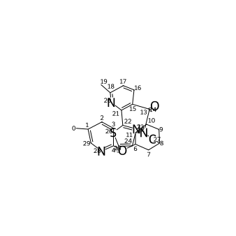 Cc1ccc(OC2CC3CCC2N(C(=O)c2ccc(C)nc2-c2nccs2)C3)nc1